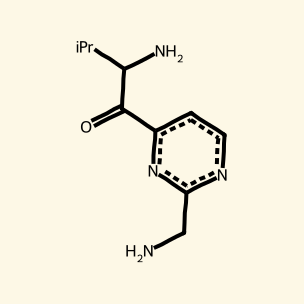 CC(C)C(N)C(=O)c1ccnc(CN)n1